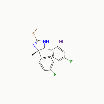 CSC1=N[C@@](C)(c2ccc(F)cc2)[C@@H](c2ccc(F)cc2)N1.I